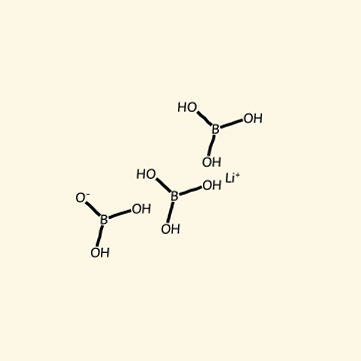 OB(O)O.OB(O)O.[Li+].[O-]B(O)O